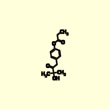 CCC(=O)Oc1ccc(CC(=O)C(C)(C)O)cc1